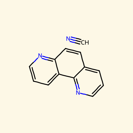 C#N.c1cnc2c(c1)ccc1ncccc12